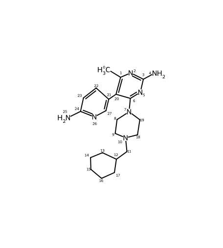 Cc1nc(N)nc(N2CCN(CC3CCCCC3)CC2)c1-c1ccc(N)nc1